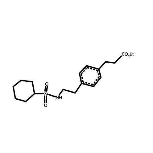 CCOC(=O)CCc1ccc(CCNS(=O)(=O)C2CCCCC2)cc1